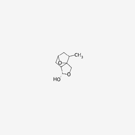 CC1CC2CC3[C@@H](O)OCC13O2